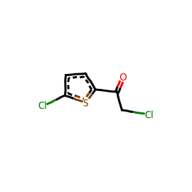 O=C(CCl)c1ccc(Cl)s1